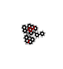 c1ccc(-c2cccc(N(c3cc4c5c(c3)N(c3cccc6ccccc36)c3c(ccc6ccccc36)B5c3ccc5ccccc5c3N4c3cccc4ccccc34)c3ccccc3-c3ccccc3)c2)cc1